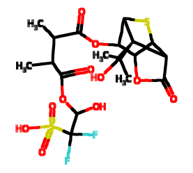 CC(C(=O)OC1C2OC(=O)C3C2SC1[C@@H]3C(C)(C)O)C(C)C(=O)OC(O)C(F)(F)S(=O)(=O)O